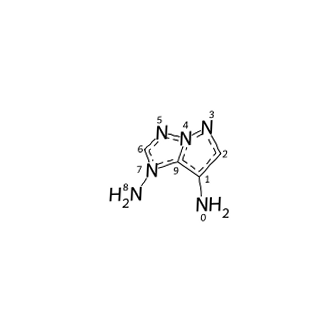 Nc1cnn2ncn(N)c12